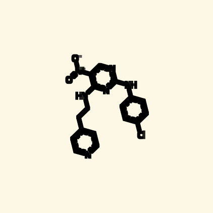 O=[N+]([O-])c1cnc(Nc2ccc(Cl)cc2)nc1NCCc1ccncc1